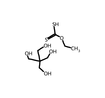 CCOC(=S)S.OCC(CO)(CO)CO